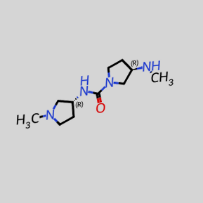 CN[C@@H]1CCN(C(=O)N[C@@H]2CCN(C)C2)C1